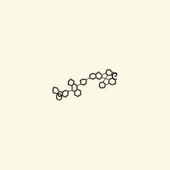 c1ccc2c(c1)-c1ccccc1C21c2cc3cc(-c4ccc(-c5c6ccccc6c(-c6ccc7oc8ccccc8c7c6)c6ccccc56)cc4)ccc3cc2-c2ccc3ccccc3c21